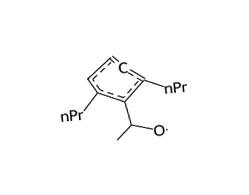 CCCc1cccc(CCC)c1C(C)[O]